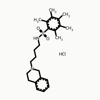 Cc1c(C)c(C)c(S(=O)(=O)NCCCCN2CCc3ccccc3C2)c(C)c1C.Cl